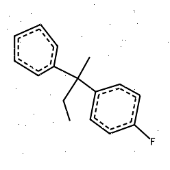 CCC(C)(c1ccccc1)c1ccc(F)cc1